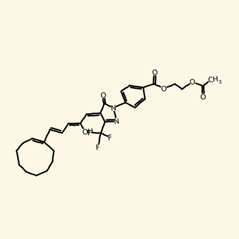 CC(=O)OCCOC(=O)c1ccc(N2N=C(C(F)(F)F)\C(=C/C(O)=C/C=C/C3=C/CCCCCCCC3)C2=O)cc1